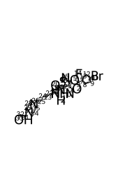 NC(=O)c1c(OCc2ccc(Br)cc2F)nsc1NC(=O)NCCCCCN1CCN(CCO)CC1